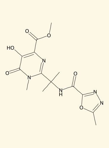 COC(=O)c1nc(C(C)(C)NC(=O)c2nnc(C)o2)n(C)c(=O)c1O